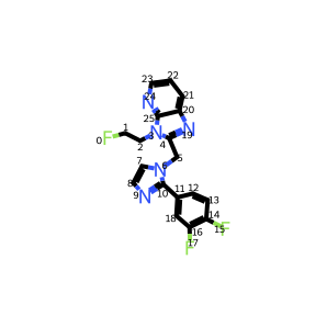 FCCn1c(Cn2ccnc2-c2ccc(F)c(F)c2)nc2cccnc21